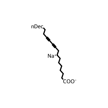 CCCCCCCCCCCCC#CC#CCCCCCCCCC(=O)[O-].[Na+]